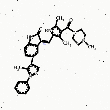 Cc1[nH]c(/C=C2\C(=O)Nc3ccc(-c4cnn(-c5ccccc5)c4C)cc32)c(C)c1C(=O)N1CCN(C)CC1